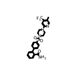 Cc1cnc(N2CCN(S(=O)(=O)c3ccc(-c4ccccc4C(N)=O)cc3)CC2)cc1C(F)(F)F